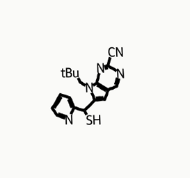 CC(C)(C)Cn1c(C(S)c2ccccn2)cc2cnc(C#N)nc21